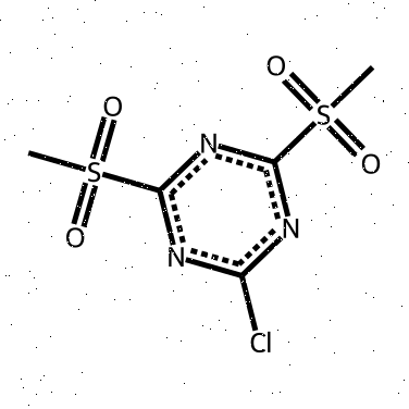 CS(=O)(=O)c1nc(Cl)nc(S(C)(=O)=O)n1